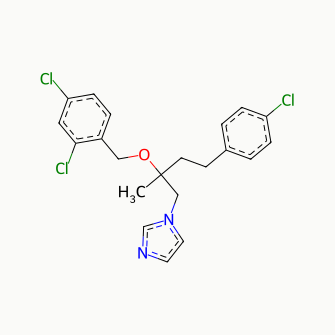 CC(CCc1ccc(Cl)cc1)(Cn1ccnc1)OCc1ccc(Cl)cc1Cl